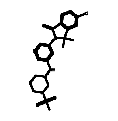 CC1(C)c2cc(Cl)ccc2C(=O)N1c1cncc(N[C@@H]2CCCN(S(C)(=O)=O)C2)c1